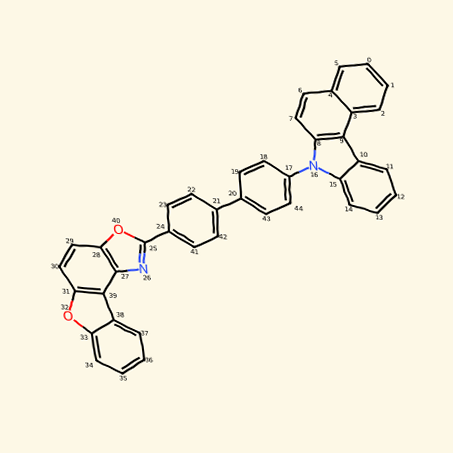 c1ccc2c(c1)ccc1c2c2ccccc2n1-c1ccc(-c2ccc(-c3nc4c(ccc5oc6ccccc6c54)o3)cc2)cc1